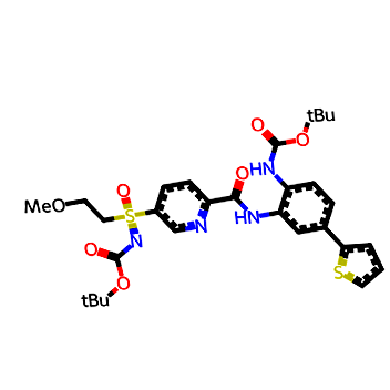 COCCS(=O)(=NC(=O)OC(C)(C)C)c1ccc(C(=O)Nc2cc(-c3cccs3)ccc2NC(=O)OC(C)(C)C)nc1